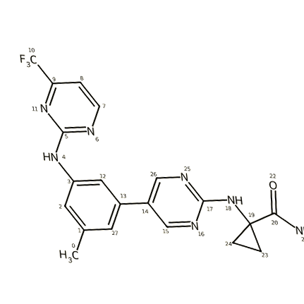 Cc1cc(Nc2nccc(C(F)(F)F)n2)cc(-c2cnc(NC3(C(N)=O)CC3)nc2)c1